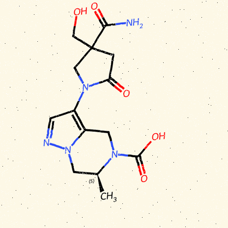 C[C@H]1Cn2ncc(N3CC(CO)(C(N)=O)CC3=O)c2CN1C(=O)O